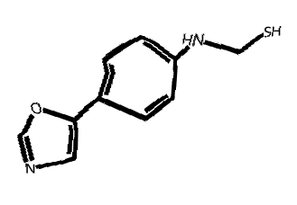 SCNc1ccc(-c2cnco2)cc1